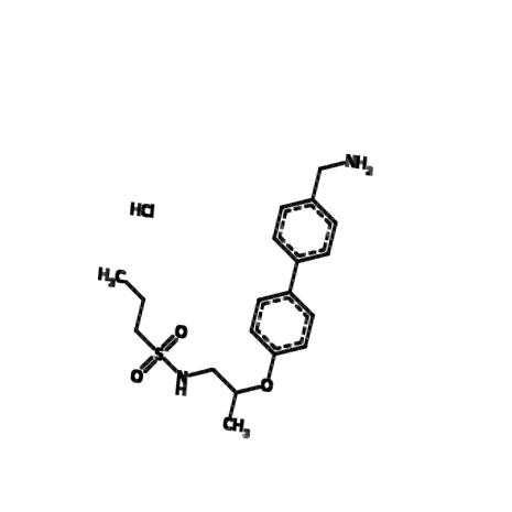 CCCS(=O)(=O)NCC(C)Oc1ccc(-c2ccc(CN)cc2)cc1.Cl